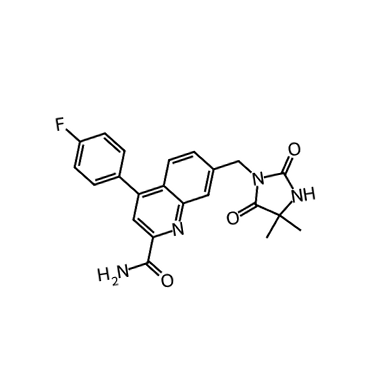 CC1(C)NC(=O)N(Cc2ccc3c(-c4ccc(F)cc4)cc(C(N)=O)nc3c2)C1=O